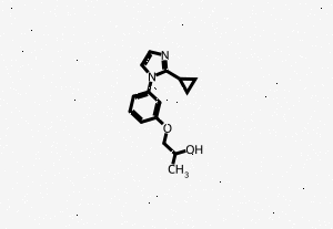 CC(O)COc1cccc(-n2ccnc2C2CC2)c1